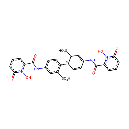 O=C(NC1=CC(S(=O)(=O)O)[C@@H](c2ccc(NC(=O)c3cccc(=O)n3O)cc2S(=O)(=O)O)C=C1)c1cccc(=O)n1O